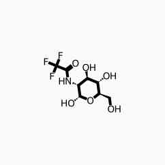 O=C(N[C@@H]1[C@@H](O)[C@H](O)[C@@H](CO)O[C@@H]1O)C(F)(F)F